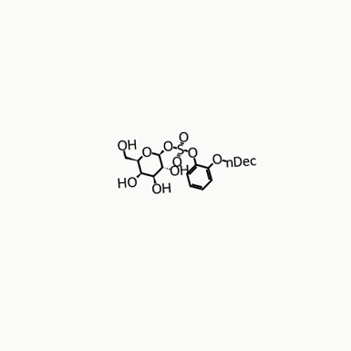 CCCCCCCCCCOc1ccccc1OS(=O)(=O)O[C@@H]1O[C@H](CO)[C@H](O)[C@H](O)[C@H]1O